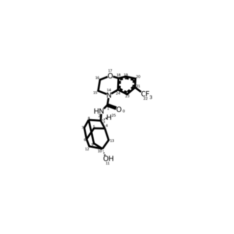 O=C(N[C@H]1C2CC3CC1C[C@](O)(C3)C2)N1CCOc2ccc(C(F)(F)F)cc21